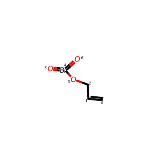 C=CC[O][Bi](=[O])=[O]